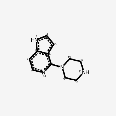 c1cc2[nH]ccc2c(N2CCNCC2)n1